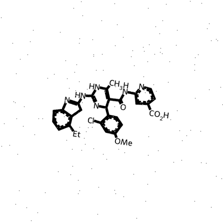 CCc1cccc2c1CC(NC1=NC(c3ccc(OC)cc3Cl)C(C(=O)Nc3cc(C(=O)O)ccn3)=C(C)N1)=N2